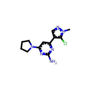 Cn1ncc(-c2cc(N3C[CH]CC3)nc(N)n2)c1Cl